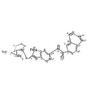 C[C@H]1[SiH2][C@@]12CCCN2Cc1cc2cnc(NC(=O)c3ccc4nnccc4c3)cc2[nH]1